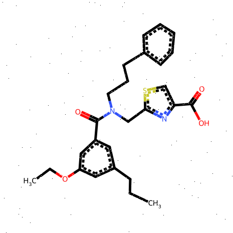 CCCc1cc(OCC)cc(C(=O)N(CCCc2ccccc2)Cc2nc(C(=O)O)cs2)c1